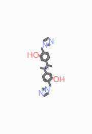 C/C(=C(/C)c1ccc(Cn2ccnc2)c(O)c1)c1ccc(Cn2ccnc2)c(O)c1